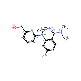 C/N=C(\c1ccc(Cl)cc1N(C=O)c1cccc(CO)c1)N(C)C